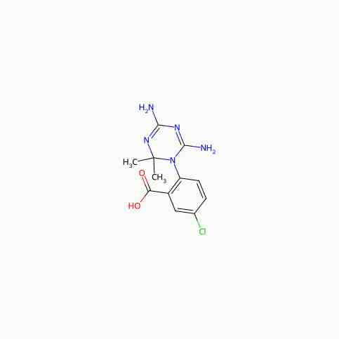 CC1(C)N=C(N)N=C(N)N1c1ccc(Cl)cc1C(=O)O